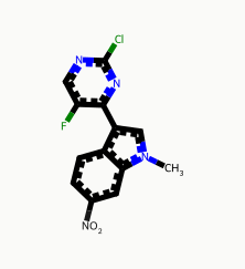 Cn1cc(-c2nc(Cl)ncc2F)c2ccc([N+](=O)[O-])cc21